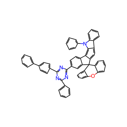 c1ccc(-c2ccc(-c3nc(-c4ccccc4)nc(-c4ccc5c(c4)C4(c6ccccc6Oc6ccccc64)c4ccc6c7ccccc7n(-c7ccccc7)c6c4-5)n3)cc2)cc1